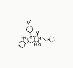 COc1ccc([C@H]2c3[nH]c4ccccc4c3C[C@@H]3C(=O)N(CCN4CCCC4)C(=O)N23)cc1